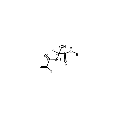 C=C(C)C(=O)NC(C)(O)C(=O)OC